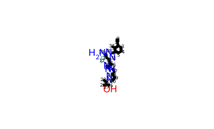 C#Cc1cccc(-c2nc(N)c(F)c(-c3cn(Cc4ccn(C(C)C(C)(C)O)n4)nn3)n2)c1C